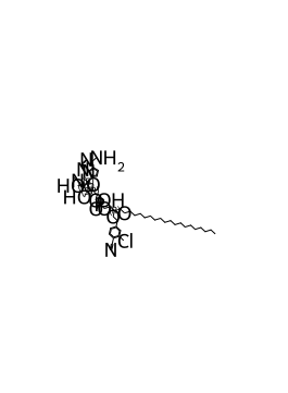 CCCCCCCCCCCCCCCCCCOC[C@H](COP(=O)(O)OC[C@H]1O[C@@](C=NC)(c2ccc3c(N)ncnn23)[C@H](O)[C@@H]1O)OCc1ccc(C#N)c(Cl)c1